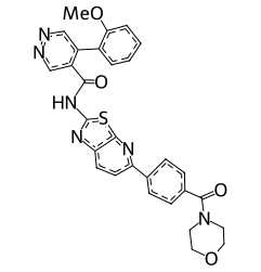 COc1ccccc1-c1cnncc1C(=O)Nc1nc2ccc(-c3ccc(C(=O)N4CCOCC4)cc3)nc2s1